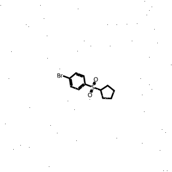 O=S(=O)(c1ccc(Br)cc1)C1CCCC1